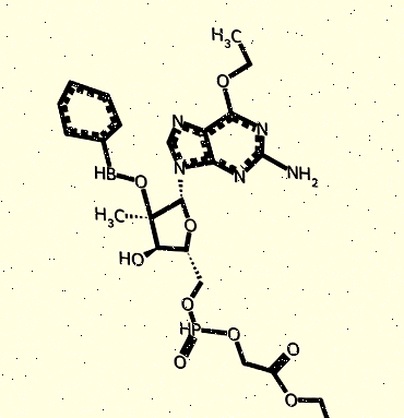 CCOC(=O)CO[PH](=O)OC[C@H]1O[C@@H](n2cnc3c(OCC)nc(N)nc32)[C@](C)(OBc2ccccc2)[C@@H]1O